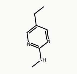 CCc1cnc(NC)nc1